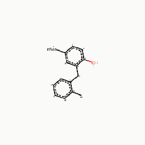 CCCCCCCCCc1ccc(O)c(Cc2ccccc2C)c1